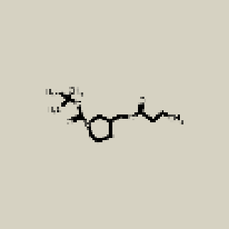 CCCC(=O)OCC1CCCN(C(=O)OC(C)(C)C)C1